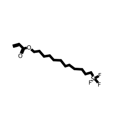 C=CC(=O)OCCCCCCCCCCCC[Si](F)(F)F